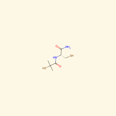 CC(C)(S)C(=O)N[C@@H](CS)C(N)=O